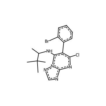 CC(Nc1c(-c2ccccc2Br)c(Cl)nc2ncnn12)C(C)(C)C